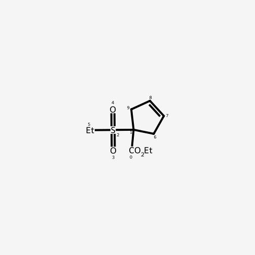 CCOC(=O)C1(S(=O)(=O)CC)CC=CC1